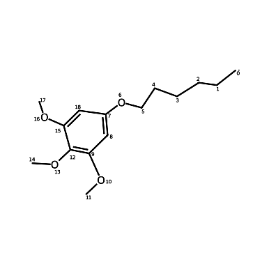 [CH2]CCCCCOc1cc(OC)c(OC)c(OC)c1